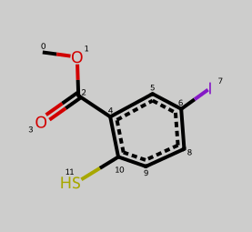 COC(=O)c1cc(I)ccc1S